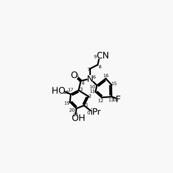 CC(C)c1cc(C(=O)N(CCC#N)c2ccc(F)cc2)c(O)cc1O